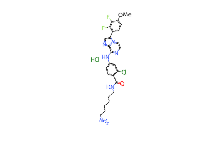 COc1ccc(-c2cnc3c(Nc4ccc(C(=O)NCCCCCCN)c(Cl)c4)nccn23)c(F)c1F.Cl